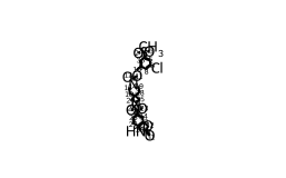 CS(=O)(=O)c1cc(Cl)cc(COC(=O)N2CCC3(CC2)CN(S(=O)(=O)c2ccc4[nH]c(=O)oc4c2)C3)c1